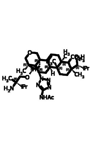 CC(=O)Nc1nnn([C@@H]2C[C@@]34COC[C@@](C)([C@@H]3CC[C@H]3C4=CC[C@@]4(C)C(C(=O)O)[C@@](C)([C@H](C)C(C)C)CC[C@]34C)[C@H]2OC[C@](C)(N)C(C)C)n1